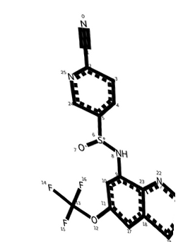 N#Cc1ccc([S+]([O-])Nc2cc(OC(F)(F)F)cc3cccnc23)cn1